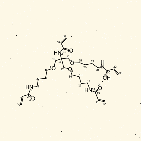 C=CC(=O)NCCCCOCC(COCCCCNC(=O)C=C)(COCCCCNC(O)C=C)NC(=O)C=C